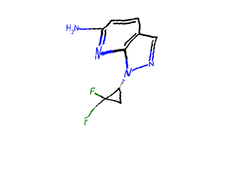 Nc1ccc2cnn([C@@H]3CC3(F)F)c2n1